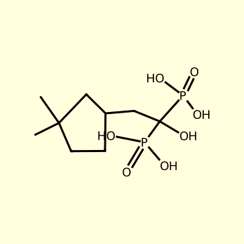 CC1(C)CCC(CC(O)(P(=O)(O)O)P(=O)(O)O)C1